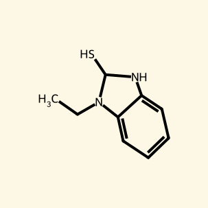 CCN1c2ccccc2NC1S